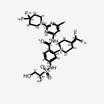 Cc1cc(NC(=O)c2ccc(NS(=O)(=O)[C@@H](F)CO)cc2N2CCC(=C(F)F)CC2)nc(N2CCC(F)(F)CC2)n1